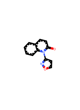 O=c1ccc2ccccc2n1-c1ccon1